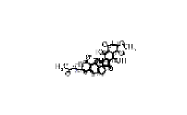 COC1=CC(=O)c2c(O)c3c(c(O)c2C1=O)C(=O)C1(CCc2cc4cc(/C=C/C(C)=O)[nH]c(=O)c4c(O)c21)C3=O